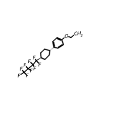 CCOc1ccc([C@H]2CC[C@H](C(F)(F)C(F)(F)C(F)(F)C(F)(F)F)CC2)cc1